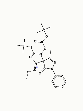 CO/N=C(\C)C1(N(OC(=O)OC(C)(C)C)C(=O)OC(C)(C)C)C(=O)N(c2ccccc2)N=C1C